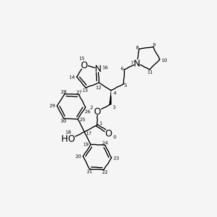 O=C(OC[C@H](CCN1CCCC1)c1ccon1)C(O)(c1ccccc1)c1ccccc1